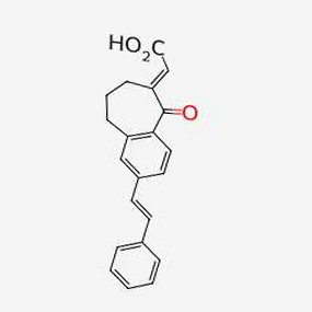 O=C(O)/C=C1\CCCc2cc(/C=C/c3ccccc3)ccc2C1=O